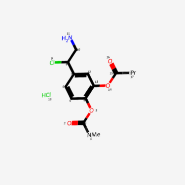 CNC(=O)Oc1ccc(C(Cl)CN)cc1OC(=O)C(C)C.Cl